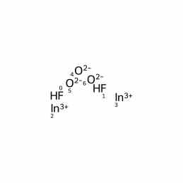 F.F.[In+3].[In+3].[O-2].[O-2].[O-2]